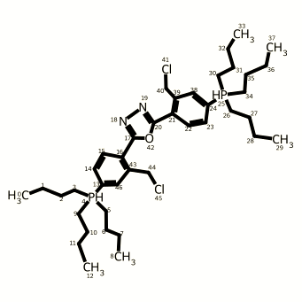 CCCC[PH](CCCC)(CCCC)c1ccc(-c2nnc(-c3ccc([PH](CCCC)(CCCC)CCCC)cc3CCl)o2)c(CCl)c1